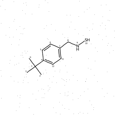 CC(C)(C)c1ccc(CNS)cc1